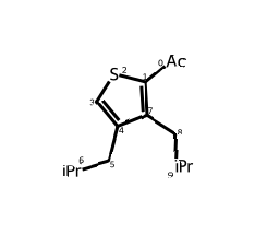 CC(=O)c1scc(CC(C)C)c1CC(C)C